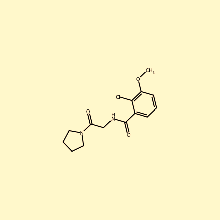 COc1cccc(C(=O)NCC(=O)N2CCCC2)c1Cl